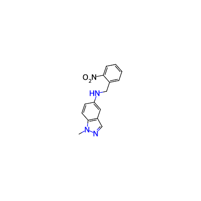 Cn1ncc2cc(NCc3ccccc3[N+](=O)[O-])ccc21